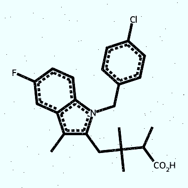 Cc1c(CC(C)(C)C(C)C(=O)O)n(Cc2ccc(Cl)cc2)c2ccc(F)cc12